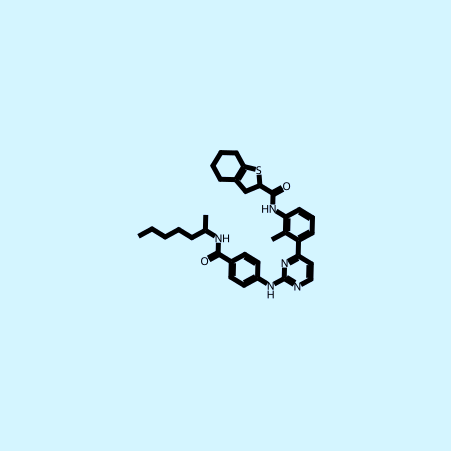 CCCCCC(C)NC(=O)c1ccc(Nc2nccc(-c3cccc(NC(=O)C4CC5=C(CCCC5)S4)c3C)n2)cc1